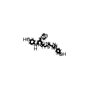 CC(C)(Cc1ncc(-c2nnn(-c3ccc(O)cc3)n2)s1)c1cc(CN2CCOCC2)cc(N[C@H]2CC[C@H](O)CC2)n1